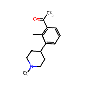 CCN1CCC(c2cccc(C(=O)C(F)(F)F)c2C)CC1